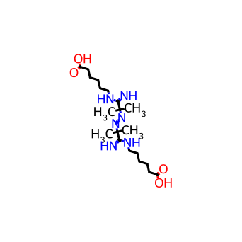 CC(C)(/N=N/C(C)(C)C(=N)NCCCCCC(=O)O)C(=N)NCCCCCC(=O)O